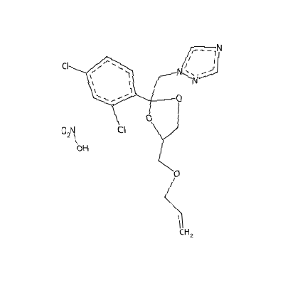 C=CCOCC1COC(Cn2cncn2)(c2ccc(Cl)cc2Cl)O1.O=[N+]([O-])O